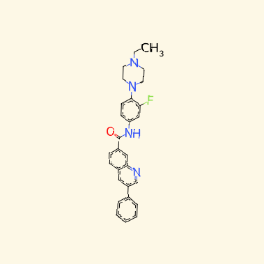 CCN1CCN(c2ccc(NC(=O)c3ccc4cc(-c5ccccc5)cnc4c3)cc2F)CC1